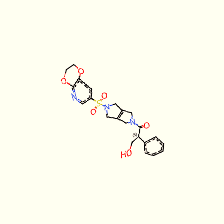 O=C([C@H](CO)c1ccccc1)N1CC2=C(C1)CN(S(=O)(=O)c1cnc3c(c1)OCCO3)C2